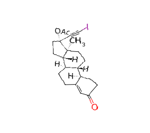 CC(=O)O[C@@]1(C#CI)CC[C@H]2[C@@H]3CCC4=CC(=O)CC[C@@H]4[C@H]3CC[C@@]21C